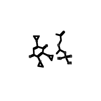 C=C(C)COC(C)OP(=O)(O)O.O=C1C=C(N2CC2)C(=O)C(N2CC2)=C1N1CC1